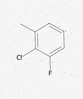 Cc1c[c]cc(F)c1Cl